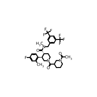 CC(=O)N1CCCC(C(=O)N2CC[C@@H](C(=O)N(C)Cc3cc(C(F)(F)F)cc(C(F)(F)F)c3)[C@H](c3ccc(F)cc3C)C2)C1